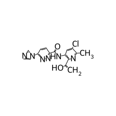 C=C(O)c1nc(C)c(Cl)cc1NC(=O)c1ccc(-n2ccnc2)nn1